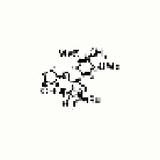 COc1cc([C@@H](O[Si](C)(C)C(C)(C)C)[C@H](CC=O)OC2CCCC2)cc(OC)c1C